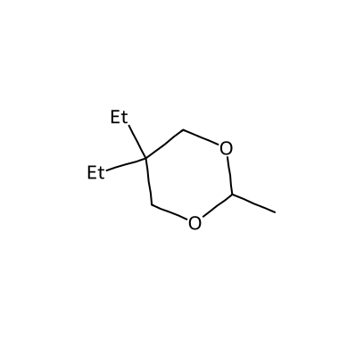 CCC1(CC)COC(C)OC1